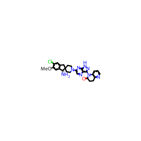 COc1cc2c(cc1Cl)CC1(CCN(c3cnc4c(N5C(=O)CCc6ncccc65)n[nH]c4n3)CC1)[C@@H]2N